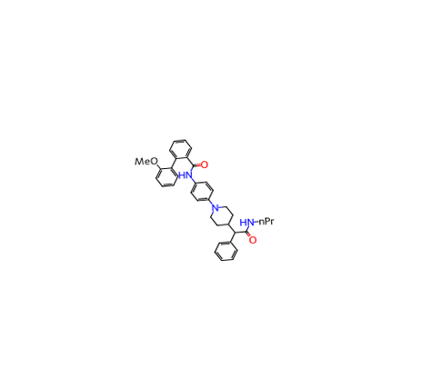 CCCNC(=O)C(c1ccccc1)C1CCN(c2ccc(NC(=O)c3ccccc3-c3ccccc3OC)cc2)CC1